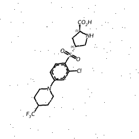 O=C(O)[C@@H]1C[C@@H](S(=O)(=O)c2ccc(N3CCC(C(F)(F)F)CC3)cc2Cl)CN1